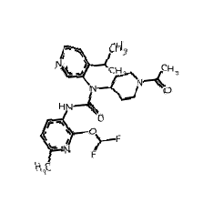 CC(=O)N1CCC(N(C(=O)Nc2ccc(C)nc2OC(F)F)c2cnccc2C(C)C)CC1